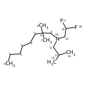 CCCCCCC(C)(C)CN(CC(C)C)CC(F)F